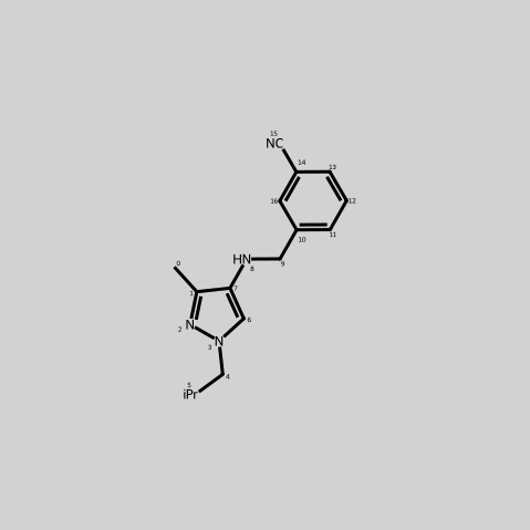 Cc1nn(CC(C)C)cc1NCc1cccc(C#N)c1